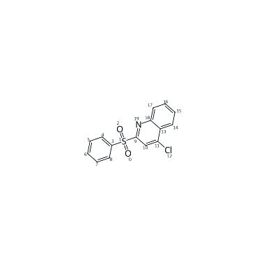 O=S(=O)(c1ccccc1)c1cc(Cl)c2ccccc2n1